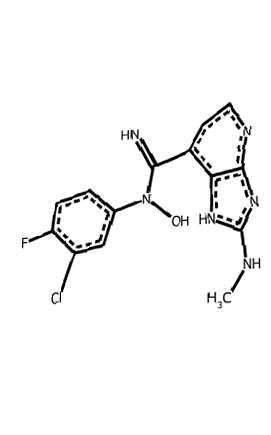 CNc1nc2nccc(C(=N)N(O)c3ccc(F)c(Cl)c3)c2[nH]1